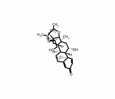 CC1O[C@@H]2C[C@H]3[C@@H]4CCC5=CC(=O)C=C[C@]5(C)[C@H]4[C@@H](O)C[C@]3(C)[C@]2(/C(CO)=N\N(C)C)O1